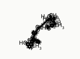 CCc1c(F)ccc2cc(O)cc(-c3ncc4c(N5CC6CCC(C5)N6)nc(OCC56CCCN5[C@@H](COC(=O)NCCCCCCCC(=O)NC(C(=O)N5CCC[C@H]5C(=O)N[C@@H](C)c5ccc(-c7scnc7C)cc5)C(C)(C)C)CC6)nc4c3F)c12